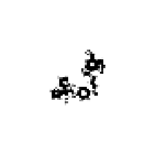 Cn1ncc2c(C=O)cc3nnn(CCCN(C)[C@H]4CC[C@H](OC(=O)C(O)(c5cccs5)c5cccs5)CC4)c3c21